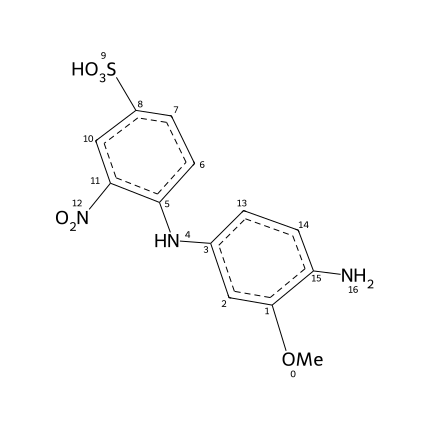 COc1cc(Nc2ccc(S(=O)(=O)O)cc2[N+](=O)[O-])ccc1N